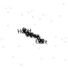 CCOP(=O)(Cc1ccc(-[n+]2ccc(-c3cc[n+](-c4ccc(CP(=O)(O)O)cc4C)cc3C)cc2)c(C)c1)OCC